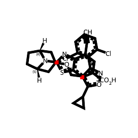 C#Cc1cc(C(=O)O)cc2sc(N3[C@@H]4CC[C@H]3CC(OCc3c(-c5c(Cl)cccc5Cl)noc3C3CC3)C4)nc12